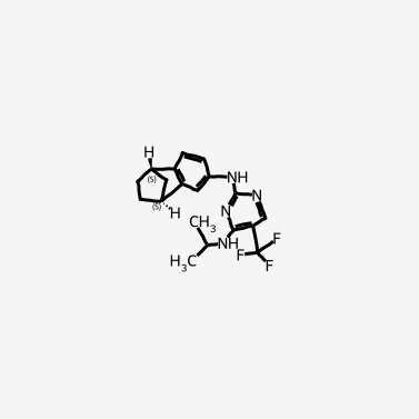 CC(C)Nc1nc(Nc2ccc3c(c2)[C@H]2CC[C@H]3C2)ncc1C(F)(F)F